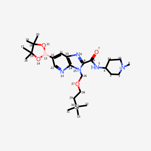 CN1CCC(NC(=O)c2nc3cc(B4OC(C)(C)C(C)(C)O4)cnc3n2COCC[Si](C)(C)C)CC1